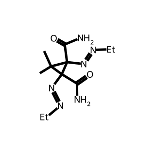 CCN=NC1(C(N)=O)C(C)(C)C1(N=NCC)C(N)=O